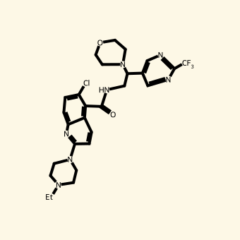 CCN1CCN(c2ccc3c(C(=O)NCC(c4cnc(C(F)(F)F)nc4)N4CCOCC4)c(Cl)ccc3n2)CC1